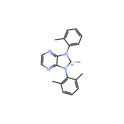 Cc1ccccc1N1c2nccnc2N(c2c(C)cccc2C)[C@H]1C